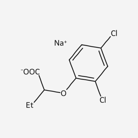 CCC(Oc1ccc(Cl)cc1Cl)C(=O)[O-].[Na+]